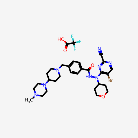 CN1CCN(C2CCN(Cc3ccc(C(=O)NN(c4nc(C#N)ncc4Br)C4CCOCC4)cc3)CC2)CC1.O=C(O)C(F)(F)F